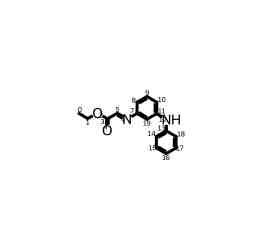 CCOC(=O)C=Nc1cccc(Nc2ccccc2)c1